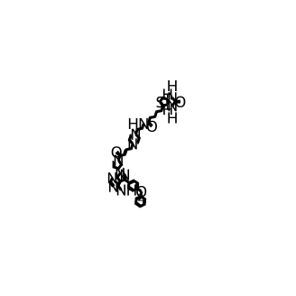 Nc1ncnc2c1c(-c1ccc(Oc3ccccc3)cc1)nn2[C@@H]1CCN(C(=O)/C=C/CN2CCN(CCNC(=O)CCCCC3SC[C@@H]4NC(=O)N[C@H]34)CC2)C1